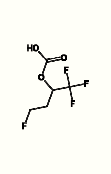 O=C(O)OC(CCF)C(F)(F)F